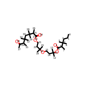 CCCC(C)(C)C(C)C(=O)OC(C)(C)CCOC(C)(C)CCOC(=O)C(C)C(C)(C)CC(C)(C)C(C)C(C)=O